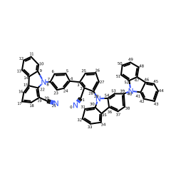 N#Cc1c(-c2ccc(-n3c4ccccc4c4cccc(C#N)c43)cc2)cccc1-n1c2ccccc2c2ccc(-n3c4ccccc4c4ccccc43)cc21